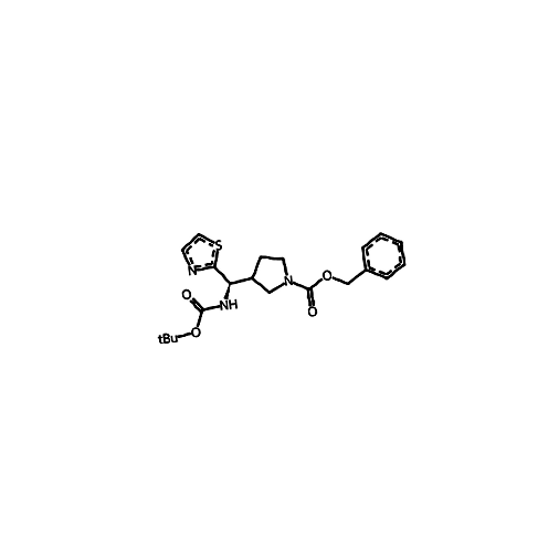 CC(C)(C)OC(=O)N[C@@H](c1nccs1)C1CCN(C(=O)OCc2ccccc2)C1